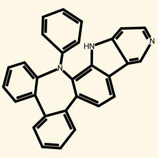 c1ccc(N2c3ccccc3-c3ccccc3-c3ccc4c([nH]c5ccncc54)c32)cc1